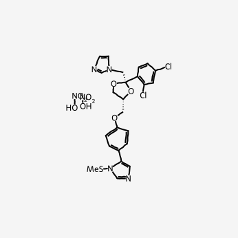 CSn1cncc1-c1ccc(OC[C@@H]2CO[C@@](Cn3ccnc3)(c3ccc(Cl)cc3Cl)O2)cc1.O=[N+]([O-])O.O=[N+]([O-])O